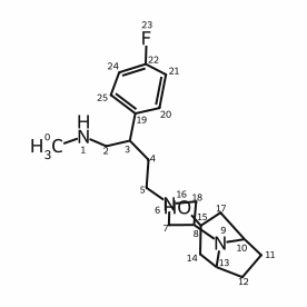 CNCC(CCN1CC(N2C3CCC2CC(O)C3)C1)c1ccc(F)cc1